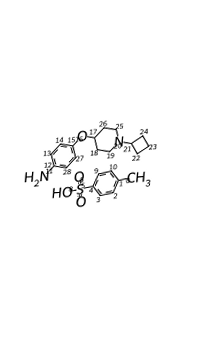 Cc1ccc(S(=O)(=O)O)cc1.Nc1ccc(OC2CCN(C3CCC3)CC2)cc1